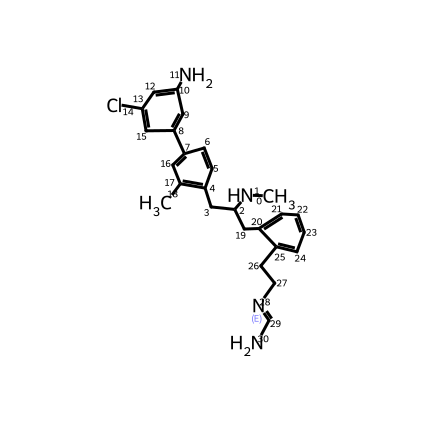 CNC(Cc1ccc(-c2cc(N)cc(Cl)c2)cc1C)Cc1ccccc1CC/N=C/N